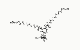 CCCCCCCCCCCCCCCCCCCCCC(=O)Oc1ccc(C(CNC(C)(C)C)OS(C)(=O)=O)cc1OC(=O)CCCCCCCCCCCCCCCCCCCCC